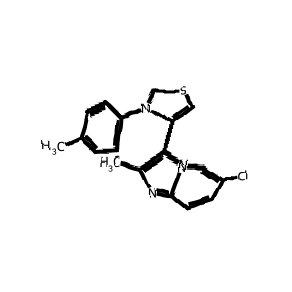 Cc1ccc(N2CSC=C2c2c(C)nc3ccc(Cl)cn23)cc1